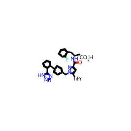 CCCc1cc(C(=O)NC(CC(=O)O)Cc2ccccc2F)nn1Cc1ccc(-c2ccccc2-c2nnn[nH]2)cc1